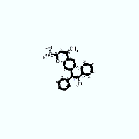 CC/C(=C(\c1ccccc1)c1ccc(/C(C)=C\C(=O)N(CC)CC)cc1)c1ccccc1